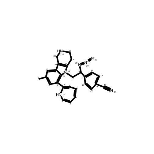 Cc1cc(C2=CC=CC=CN2)c2c(c1)c1c(n2CC(N=[N+]=[N-])c2ccc(C#N)cc2)CCNC1